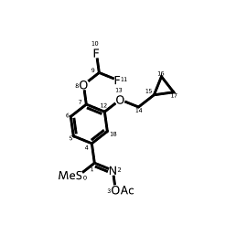 CSC(=NOC(C)=O)c1ccc(OC(F)F)c(OCC2CC2)c1